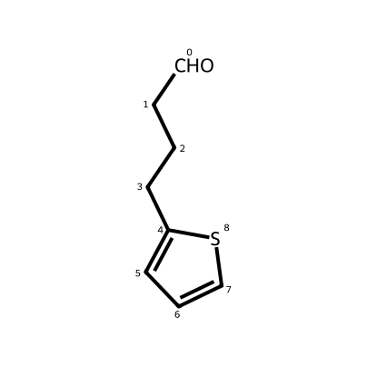 O=CCCCc1cccs1